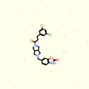 O=C(CCc1cc(Cl)cc(Cl)c1)N1CC2CN(Cc3ccc4[nH]c(=O)oc4c3)CC2C1